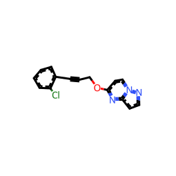 Clc1ccccc1C#CCOc1ccn2nccc2n1